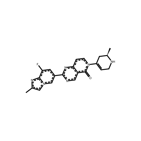 Cc1cn2cc(-c3ncc4c(=O)n(C5=CCN[C@H](C)C5)ccc4n3)cc(F)c2n1